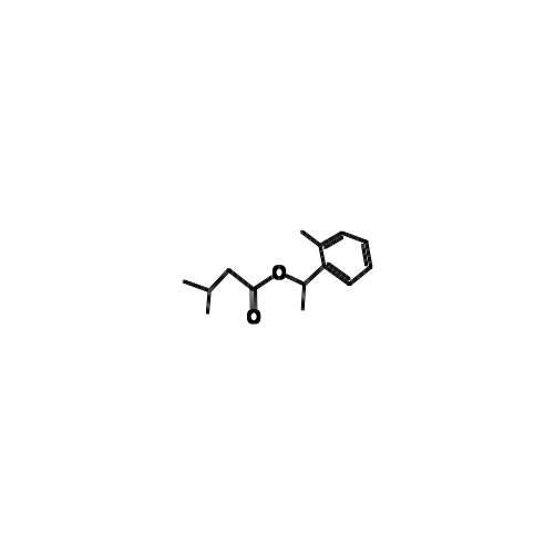 Cc1ccccc1C(C)OC(=O)CC(C)C